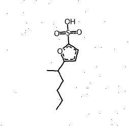 CCCCC(C)c1ccc(S(=O)(=O)O)o1